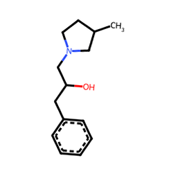 CC1CCN(CC(O)Cc2ccccc2)C1